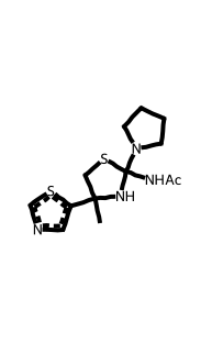 CC(=O)NC1(N2CCCC2)NC(C)(c2cncs2)CS1